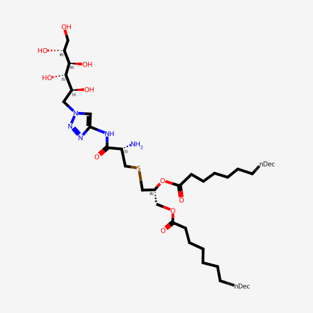 CCCCCCCCCCCCCCCCC(=O)OC[C@H](CSC[C@@H](N)C(=O)Nc1cn(C[C@H](O)[C@H](O)[C@H](O)[C@H](O)CO)nn1)OC(=O)CCCCCCCCCCCCCCCC